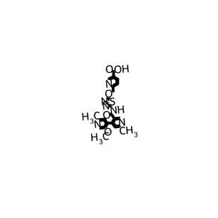 COc1cnc(C)cc1-c1cc(C)ncc1C(=O)Nc1nnc(OCc2ccc(C(=O)O)cn2)s1